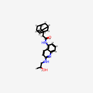 CC(O)CNc1ccc2c(NC(=O)CC34CC5CC(CC(C5)C3)C4)cccc2n1